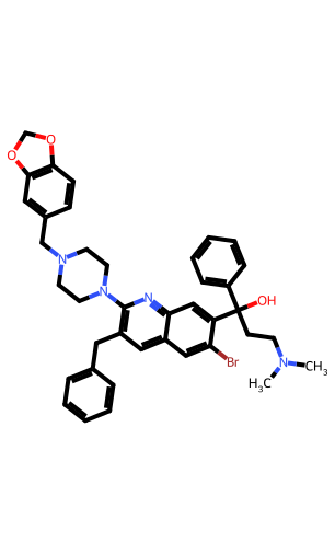 CN(C)CCC(O)(c1ccccc1)c1cc2nc(N3CCN(Cc4ccc5c(c4)OCO5)CC3)c(Cc3ccccc3)cc2cc1Br